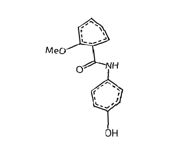 COc1ccccc1C(=O)Nc1ccc(O)cc1